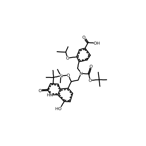 CC(C)Oc1cc(C(=O)O)ccc1CN(CC(O[Si](C)(C)C(C)(C)C)c1ccc(O)c2[nH]c(=O)ccc12)C(=O)OC(C)(C)C